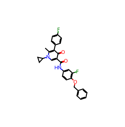 Cc1c(-c2ccc(F)cc2)c(=O)c(C(=O)Nc2ccc(OCc3ccccc3)c(F)c2)cn1C1CC1